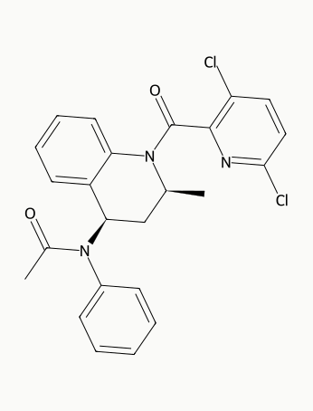 CC(=O)N(c1ccccc1)[C@@H]1C[C@H](C)N(C(=O)c2nc(Cl)ccc2Cl)c2ccccc21